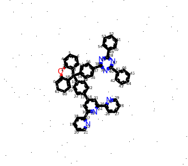 C1=C2Oc3ccccc3C(c3ccc(-c4cc(-c5ccccn5)nc(-c5ccccn5)c4)cc3)(c3ccc(-c4nc(-c5ccccc5)nc(-c5ccccc5)n4)cc3)C2=CCC1